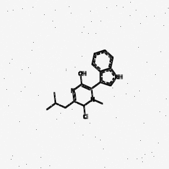 CC(C)CC1=NC(O)=C(c2c[nH]c3ccccc23)N(C)C1Cl